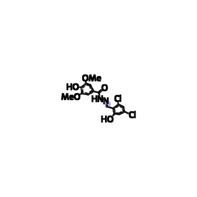 COc1cc(C(=O)N/N=C/c2c(O)cc(Cl)cc2Cl)cc(OC)c1O